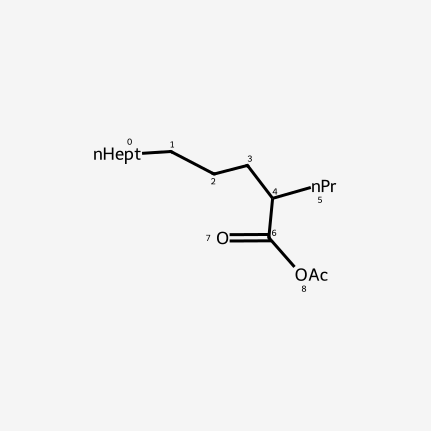 CCCCCCCCCCC(CCC)C(=O)OC(C)=O